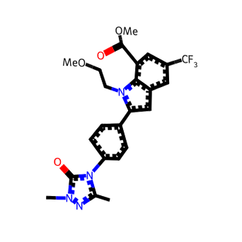 COCCn1c(-c2ccc(-n3c(C)nn(C)c3=O)cc2)cc2cc(C(F)(F)F)cc(C(=O)OC)c21